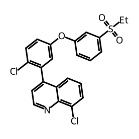 CCS(=O)(=O)c1cccc(Oc2ccc(Cl)c(-c3ccnc4c(Cl)cccc34)c2)c1